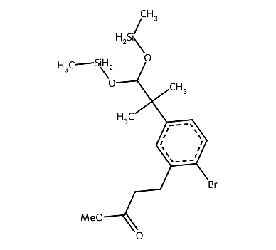 COC(=O)CCc1cc(C(C)(C)C(O[SiH2]C)O[SiH2]C)ccc1Br